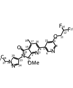 CO[C@H]1c2nc(-c3cncc(OCC(F)F)c3)cc(C)c2C(=O)N1c1cnn(CC(F)(F)F)c1